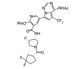 COc1ncc(-c2cc(C(F)(F)F)c3c(NC(C)=O)ncnn23)cc1C(=O)N[C@@H]1CN(C(=O)[C@@H]2CCC(F)(F)C2)C[C@@H]1F